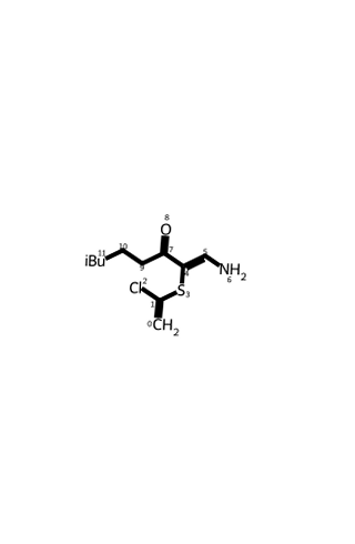 C=C(Cl)S/C(=C\N)C(=O)CCC(C)CC